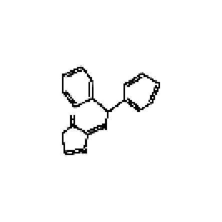 C1=NC(=NC(c2ccccc2)c2ccccc2)NC1